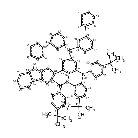 CC(C)(C)c1ccc(N2B3c4cc(C(C)(C)C)ccc4N(c4ccc(C(C)(C)C)cc4)c4cc(N(c5cccc(-c6ccccc6)c5)c5cccc(-c6ccccc6)c5)cc(c43)-c3cc4oc5ccccc5c4cc32)cc1